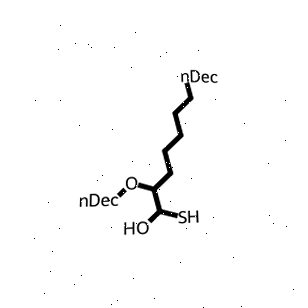 CCCCCCCCCCCCCCCC(OCCCCCCCCCC)C(O)S